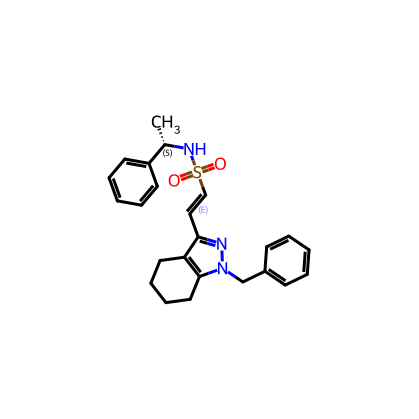 C[C@H](NS(=O)(=O)/C=C/c1nn(Cc2ccccc2)c2c1CCCC2)c1ccccc1